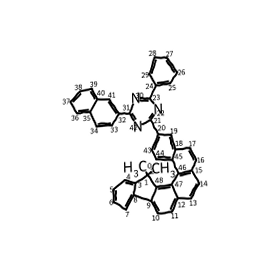 CC1(C)c2ccccc2-c2ccc3ccc4ccc5cc(-c6nc(-c7ccccc7)nc(-c7ccc8ccccc8c7)n6)ccc5c4c3c21